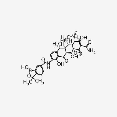 C[C@H]1c2ccc(NC(=O)c3ccc4c(c3)B(O)OC4(C)C)c(O)c2C(=O)C2=C(O)[C@]3(O)C(=O)C(C(N)=O)=C(O)[C@@H](N(C)C)[C@@H]3[C@@H](O)[C@@H]21